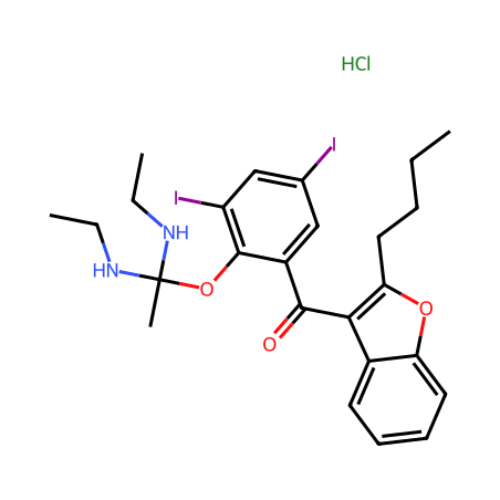 CCCCc1oc2ccccc2c1C(=O)c1cc(I)cc(I)c1OC(C)(NCC)NCC.Cl